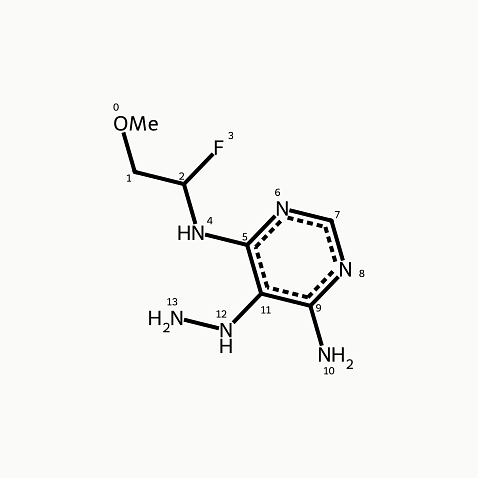 COCC(F)Nc1ncnc(N)c1NN